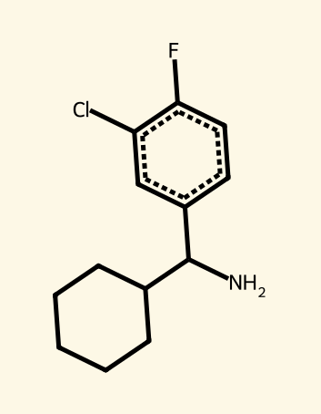 NC(c1ccc(F)c(Cl)c1)C1CCCCC1